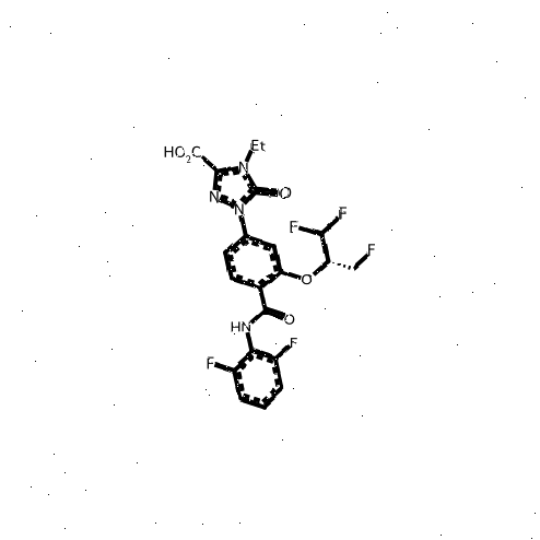 CCn1c(C(=O)O)nn(-c2ccc(C(=O)Nc3c(F)cccc3F)c(O[C@@H](CF)C(F)F)c2)c1=O